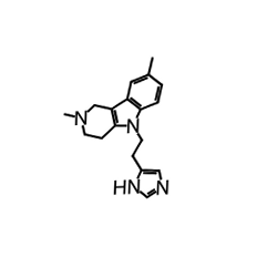 Cc1ccc2c(c1)c1c(n2CCc2cnc[nH]2)CCN(C)C1